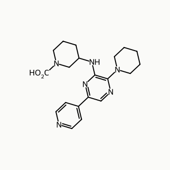 O=C(O)N1CCCC(Nc2nc(-c3ccncc3)cnc2N2CCCCC2)C1